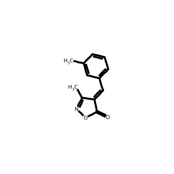 CC1=NOC(=O)C1=Cc1cccc(C)c1